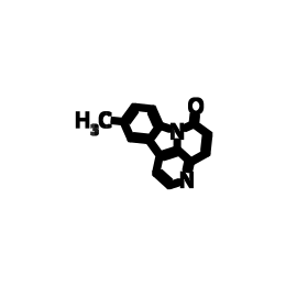 Cc1ccc2c(c1)c1ccnc3ccc(=O)n2c31